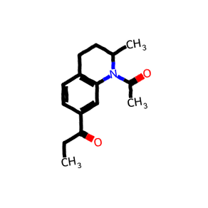 CCC(=O)c1ccc2c(c1)N(C(C)=O)C(C)CC2